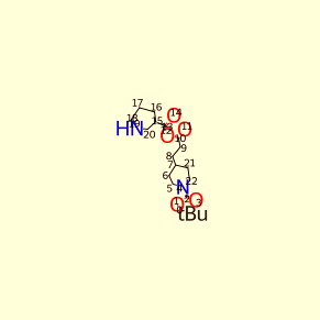 CC(C)(C)OC(=O)N1CCC(CCC(=O)OC(=O)[C@@H]2CCCNC2)CC1